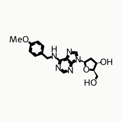 COc1ccc(CNc2ncnc3c2ncn3[C@H]2C[C@H](O)[C@@H](CO)O2)cc1